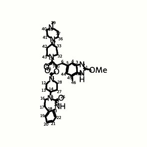 COc1nc2cc(C[C@@H](OC(=O)N3CCC(N4CCc5ccccc5NC4=O)CC3)C(=O)N3CCC(N4CCN(C)CC4)CC3)cc(C)c2[nH]1